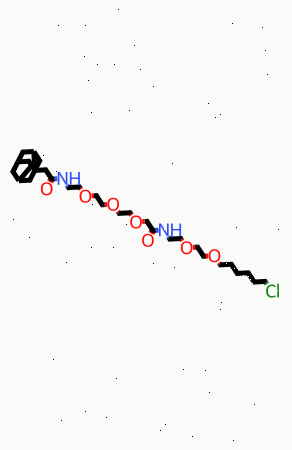 O=C(COCCOCCOCCNC(=O)CC12CC3CC(CC(C3)C1)C2)NCCOCCOCCCCCCCl